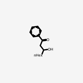 CCCCCCC(O)CC(=O)c1ccccc1